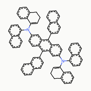 C1=C(N(c2ccc3c(-c4ccc5ccccc5c4)c4cc(N(C5=CCCc6ccccc65)c5cccc6ccccc56)ccc4c(-c4ccc5ccccc5c4)c3c2)c2cccc3ccccc23)c2ccccc2CC1